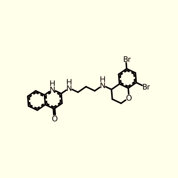 O=c1cc(NCCCNC2CCOc3c(Br)cc(Br)cc32)[nH]c2ccccc12